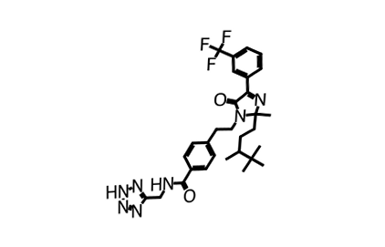 CC(CCC1(C)N=C(c2cccc(C(F)(F)F)c2)C(=O)N1CCc1ccc(C(=O)NCc2nn[nH]n2)cc1)C(C)(C)C